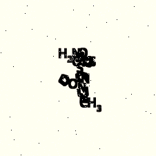 CN1CCN(c2ncc(Sc3cscc3S(N)(=O)=O)cc2OC2CCCC2)CC1